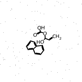 C=CC(O)OC(=O)O.c1ccc2ccccc2c1